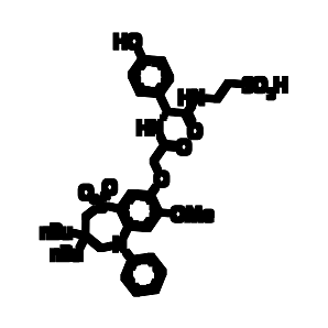 CCCCC1(CCCC)CN(c2ccccc2)c2cc(OC)c(OCC(=O)N[C@@H](C(=O)NCCS(=O)(=O)O)c3ccc(O)cc3)cc2S(=O)(=O)C1